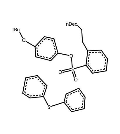 CCCCCCCCCCCCc1ccccc1S(=O)(=O)Oc1ccc(OC(C)(C)C)cc1.c1ccc(Sc2ccccc2)cc1